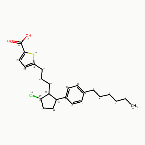 CCCCCCc1ccc(C2CC[C@@H](Cl)C2CCCc2ccc(C(=O)O)s2)cc1